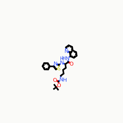 CC(C)(C)OC(=O)NCCCCC(Nc1nc(-c2ccccc2)cs1)C(=O)Nc1cccc2cccnc12